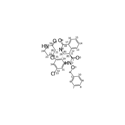 O=C(NOCc1ccccc1)[C@@H]1c2ccccc2C(=O)N([C@@H]2CCCNC2=O)[C@H]1c1ccc(Cl)cc1Cl